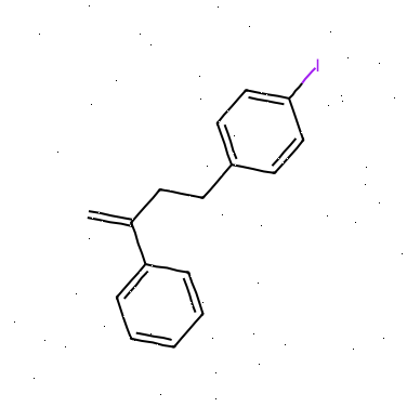 C=C(CCc1ccc(I)cc1)c1ccccc1